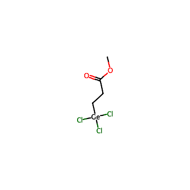 COC(=O)C[CH2][Ge]([Cl])([Cl])[Cl]